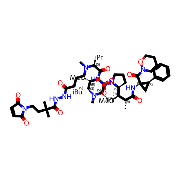 CC[C@H](C)[C@@H]([C@@H](CC(=O)N1CCC[C@H]1[C@H](OC)[C@@H](C)C(=O)N[C@@]1(C(=O)N2CCCCO2)C[C@@H]1c1ccccc1)OC)N(C)[C@H](C(=O)NC(=O)[C@H](C(C)C)N(C)CCCC(=O)NNC(=O)C(C)(C)CCN1C(=O)C=CC1=O)C(C)C